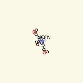 N#Cc1ccc(-n2c3ccc(-c4ccc5oc6ccccc6c5c4)cc3c3c4ccccc4ccc32)c(-n2c3ccc(-c4ccc5oc6ccccc6c5c4)cc3c3c4ccccc4ccc32)c1C#N